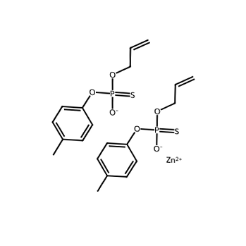 C=CCOP([O-])(=S)Oc1ccc(C)cc1.C=CCOP([O-])(=S)Oc1ccc(C)cc1.[Zn+2]